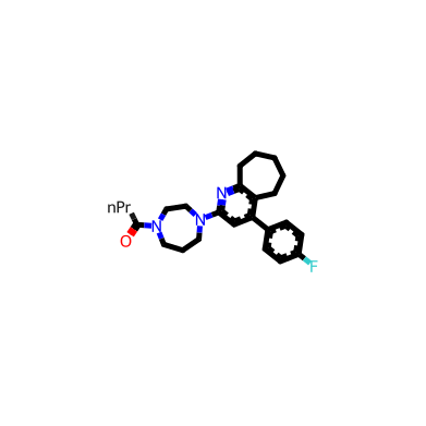 CCCC(=O)N1CCCN(c2cc(-c3ccc(F)cc3)c3c(n2)CCCCC3)CC1